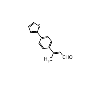 CC(=CC=O)c1ccc(-c2cccs2)cc1